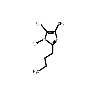 CCCCc1nc(C)c(C)n1N